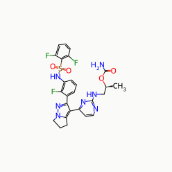 C[C@@H](CNc1nccc(-c2c(-c3cccc(NS(=O)(=O)c4c(F)cccc4F)c3F)nn3c2CCC3)n1)OC(N)=O